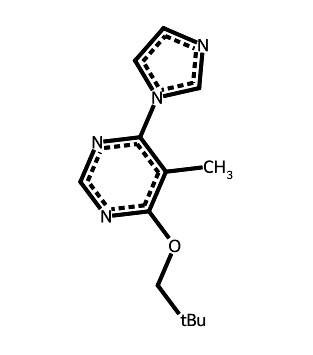 Cc1c(OCC(C)(C)C)ncnc1-n1ccnc1